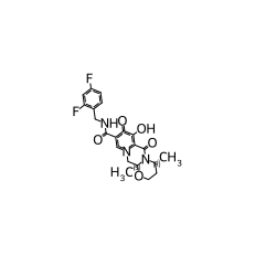 C[C@@H]1CCO[C@@]2(C)Cn3cc(C(=O)NCc4ccc(F)cc4F)c(=O)c(O)c3C(=O)N12